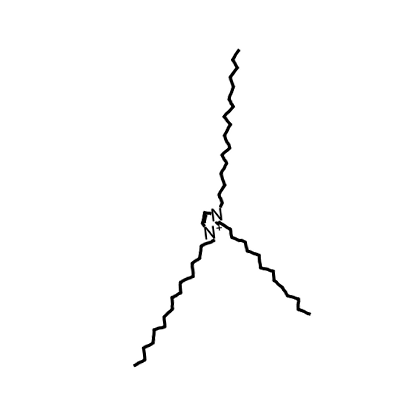 CCCCCCCCCCCCCCCCCn1cc[n+](CCCCCCCCCCCCCCCC)c1CCCCCCCCCCCCC